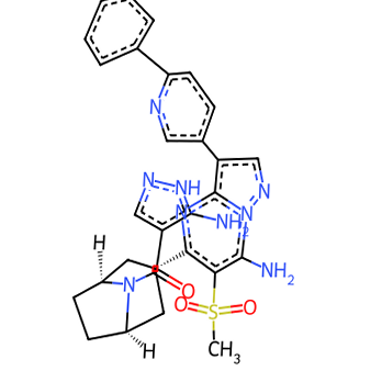 CS(=O)(=O)c1c([C@@H]2C[C@H]3CC[C@@H](C2)N3C(=O)c2cn[nH]c2N)nc2c(-c3ccc(-c4ccccc4)nc3)cnn2c1N